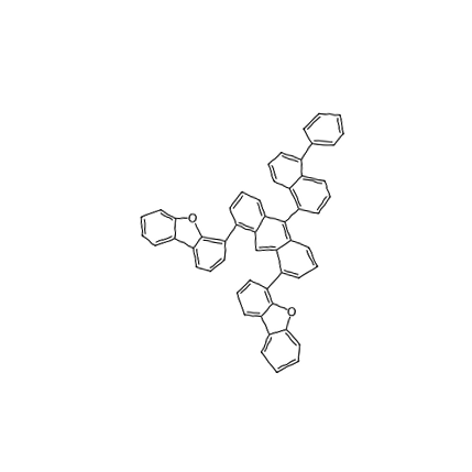 c1ccc(-c2cccc3c(-c4c5cccc(-c6cccc7c6oc6ccccc67)c5cc5c(-c6cccc7c6oc6ccccc67)cccc45)cccc23)cc1